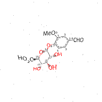 COc1cc(C=O)ccc1O[C@@H]1O[C@H](C(=O)O)[C@@H](O)[C@H](O)[C@H]1O